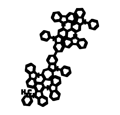 CC1(n2c3ccccc3c3c(-n4c5ccccc5c5ccccc54)c(C4=C(n5c6ccccc6c6ccccc65)Cc5c(n(-c6ccccc6)c6cc(C7=CC8C(C=C7)c7cc(-c9cc%10c%11ccccc%11n(-c%11ccccc%11)c%10cc9-n9c%10ccccc%10c%10ccccc%109)c(-n9c%10ccccc%10c%10ccccc%109)cc7N8c7ccccc7)ccc56)C=C4)ccc32)C=CC=CC1